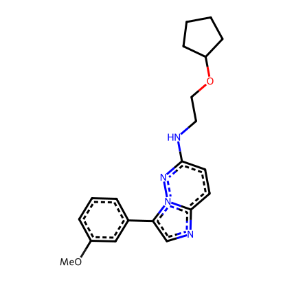 COc1cccc(-c2cnc3ccc(NCCOC4CCCC4)nn23)c1